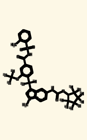 [2H]C([2H])([2H])Oc1cc(C(=O)NS(=O)(=O)c2ccccc2C)ccc1C([2H])([2H])c1cn(C)c2ccc(NC(=O)OC3C([2H])([2H])C([2H])([2H])C([2H])([2H])C3([2H])[2H])cc12